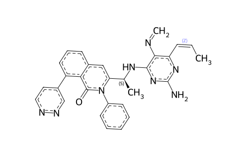 C=Nc1c(/C=C\C)nc(N)nc1N[C@@H](C)c1cc2cccc(-c3ccnnc3)c2c(=O)n1-c1ccccc1